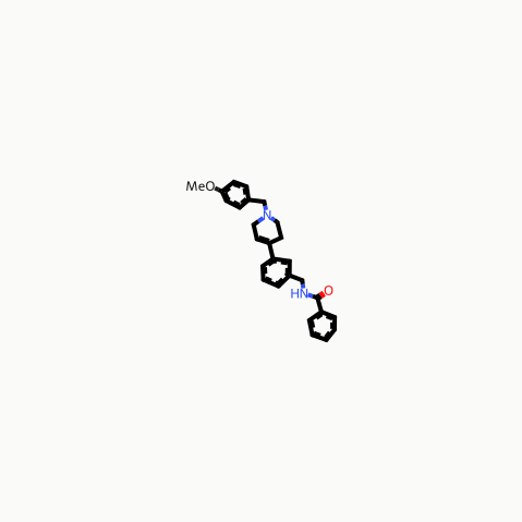 COc1ccc(CN2CC=C(c3cccc(CNC(=O)c4ccccc4)c3)CC2)cc1